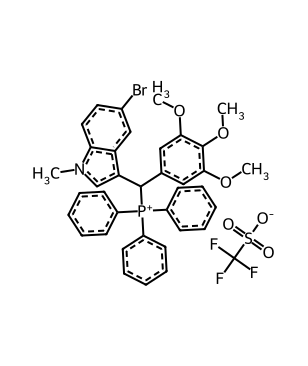 COc1cc(C(c2cn(C)c3ccc(Br)cc23)[P+](c2ccccc2)(c2ccccc2)c2ccccc2)cc(OC)c1OC.O=S(=O)([O-])C(F)(F)F